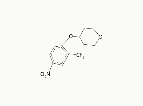 O=[N+]([O-])c1ccc(OC2CCOCC2)c(C(F)(F)F)c1